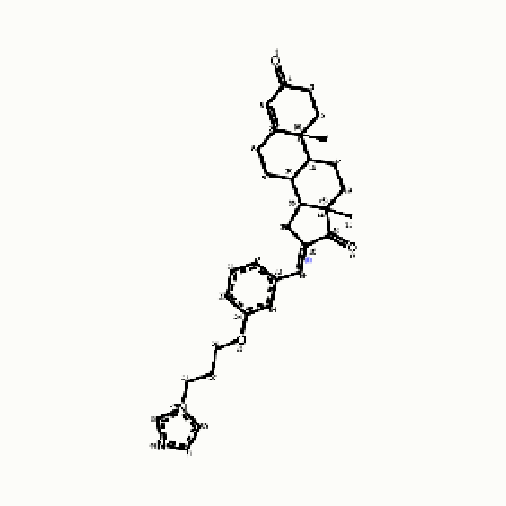 C[C@]12CCC(=O)C=C1CCC1C2CC[C@]2(C)C(=O)/C(=C/c3cccc(OCCCn4ccnc4)c3)CC12